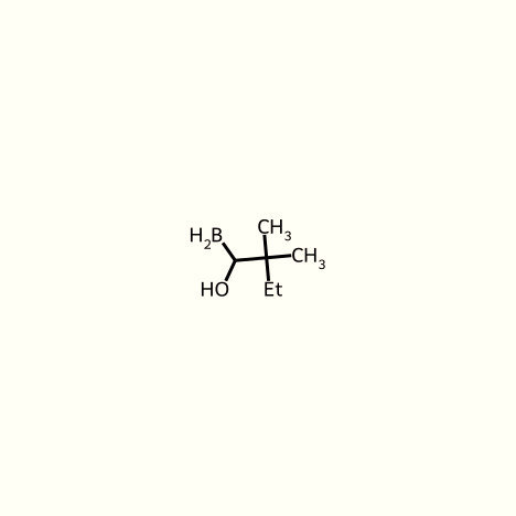 BC(O)C(C)(C)CC